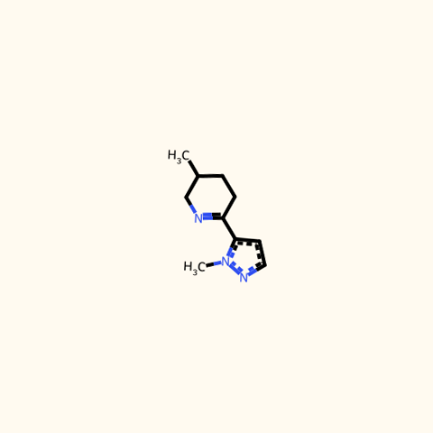 CC1CCC(c2ccnn2C)=NC1